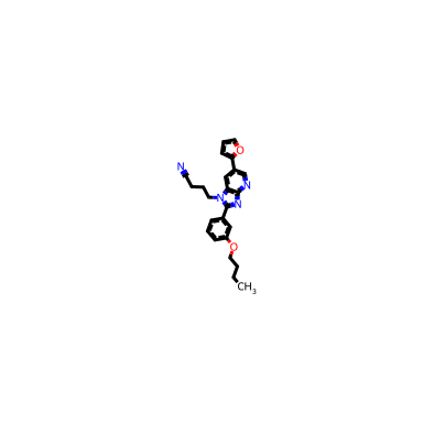 CCCCOc1cccc(-c2nc3ncc(-c4ccco4)cc3n2CCCC#N)c1